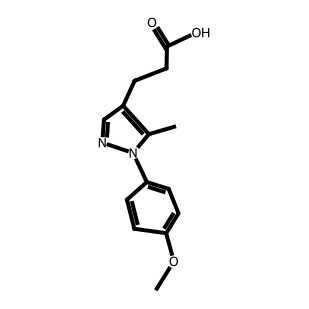 COc1ccc(-n2ncc(CCC(=O)O)c2C)cc1